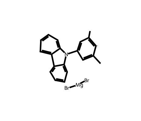 Cc1[c]c(C)cc(-n2c3ccccc3c3ccccc32)c1.[Br][Mg][Br]